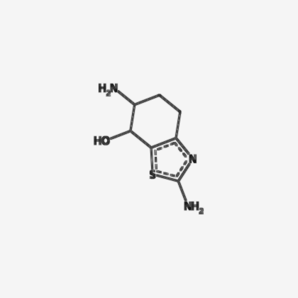 Nc1nc2c(s1)C(O)C(N)CC2